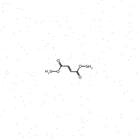 O=C(/C=C/C(=O)O[SiH3])O[SiH3]